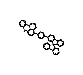 c1ccc2c(c1)Sc1ccc(-c3ccc(-c4ccc5c(c4)C4(c6ccccc6-c6ccccc64)c4ccccc4-5)cc3)c3cccc-2c13